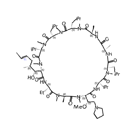 C/C=C/C[C@@H](C)[C@@H](O)[C@H]1C(=O)N[C@@H](CC)C(=O)N(C)[C@H](C)C(=O)N(C)[C@@H]([C@H](CN2CCCC2)OC)C(=O)N[C@@H](C(C)C)C(=O)N(C)[C@@H](CC(C)C)C(=O)N[C@@H](C)C(=O)N[C@H](C)C(=O)N(C)[C@@H](CC(C)C)C(=O)N(C)[C@@H](CC(C)C)C(=O)N(C)[C@@H](C(C)C)C(=O)N1C